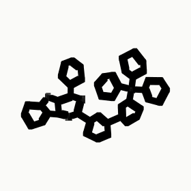 c1ccc(-c2nc(-c3cccc(-c4cccc([Si](c5ccccc5)(c5ccccc5)c5ccccc5)c4)c3)nc3c2sc2ccccc23)cc1